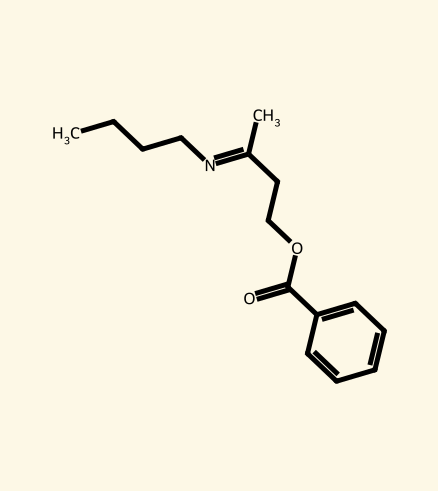 CCCCN=C(C)CCOC(=O)c1ccccc1